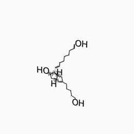 OC=CCCCCCC=C[C@@H]1[C@@H]2CC(CCCCCO)=C[C@@H]2C[C@H]1O